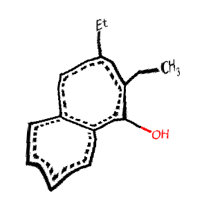 CCc1cc2ccccc2c(O)c1C